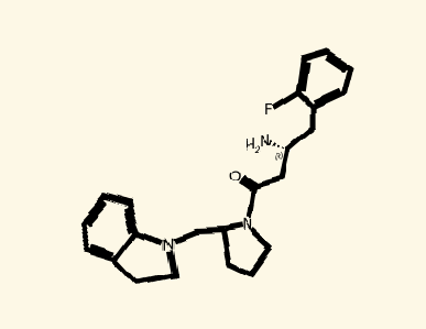 N[C@@H](CC(=O)N1CCCC1CN1CCc2ccccc21)Cc1ccccc1F